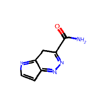 NC(=O)C1=NN=C2C=CN=C2C1